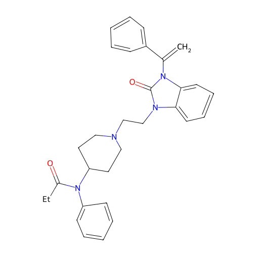 C=C(c1ccccc1)n1c(=O)n(CCN2CCC(N(C(=O)CC)c3ccccc3)CC2)c2ccccc21